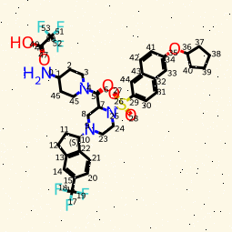 NC1CCN(C(=O)C2CN([C@H]3CCc4cc(C(F)(F)F)ccc43)CCN2S(=O)(=O)c2ccc3cc(OC4CCCC4)ccc3c2)CC1.O=C(O)C(F)(F)F